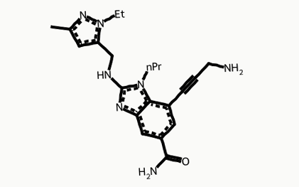 CCCn1c(NCc2cc(C)nn2CC)nc2cc(C(N)=O)cc(C#CCN)c21